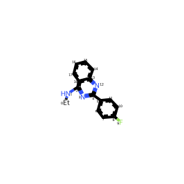 CCNc1nc(-c2ccc(F)cc2)nc2ccccc12